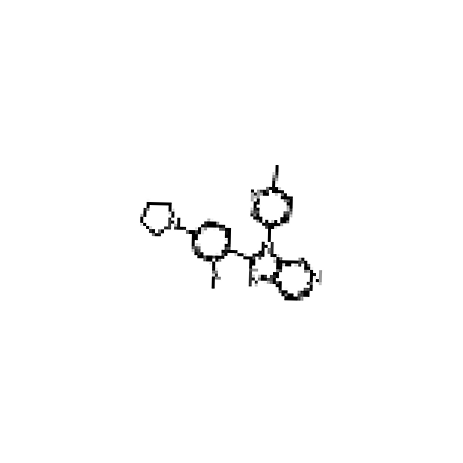 Cc1ccc(-n2c(-c3ccc(N4CCCC4)cc3F)nc3ccncc32)cn1